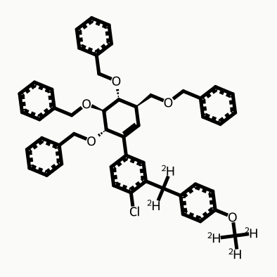 [2H]C([2H])([2H])Oc1ccc(C([2H])([2H])c2cc(C3=C[C@H](COCc4ccccc4)[C@@H](OCc4ccccc4)[C@H](OCc4ccccc4)[C@H]3OCc3ccccc3)ccc2Cl)cc1